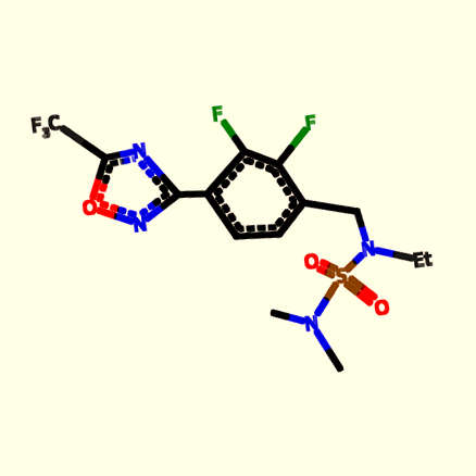 CCN(Cc1ccc(-c2noc(C(F)(F)F)n2)c(F)c1F)S(=O)(=O)N(C)C